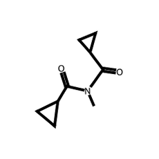 CN(C(=O)C1CC1)C(=O)C1CC1